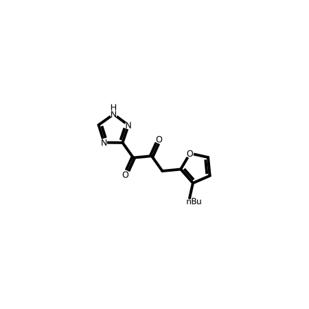 CCCCc1ccoc1CC(=O)C(=O)c1nc[nH]n1